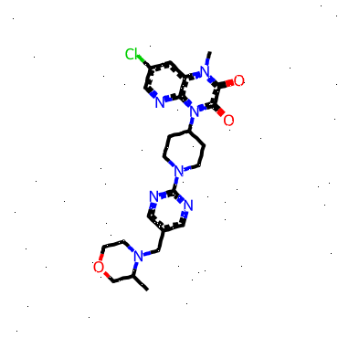 CC1COCCN1Cc1cnc(N2CCC(n3c(=O)c(=O)n(C)c4cc(Cl)cnc43)CC2)nc1